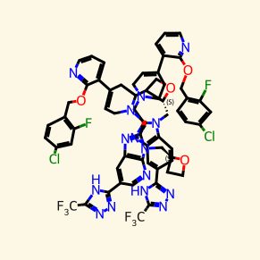 Fc1cc(Cl)ccc1COc1ncccc1C1=CCN(Cc2nc3cc(-c4nnc(C(F)(F)F)[nH]4)ccc3n2C[C@H]2OCC2C2CC(c3cccnc3OCc3ccc(Cl)cc3F)=CCN2Cc2nc3cc(-c4nnc(C(F)(F)F)[nH]4)cnc3n2C[C@@H]2CCO2)CC1